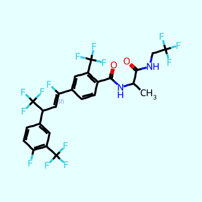 CC(NC(=O)c1ccc(/C(F)=C/C(c2ccc(F)c(C(F)(F)F)c2)C(F)(F)F)cc1C(F)(F)F)C(=O)NCC(F)(F)F